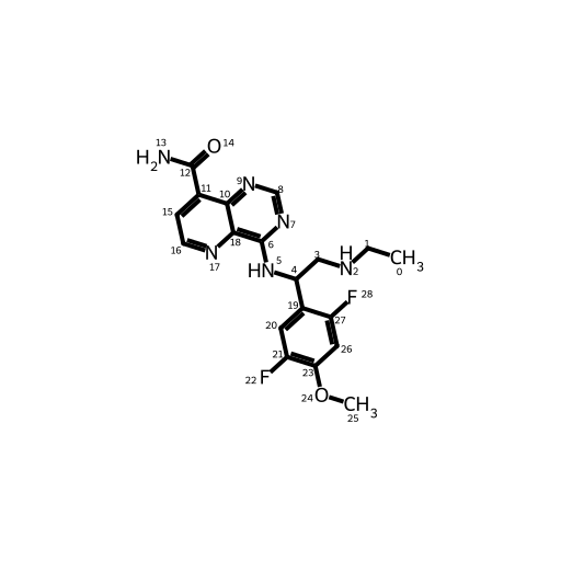 CCNCC(Nc1ncnc2c(C(N)=O)ccnc12)c1cc(F)c(OC)cc1F